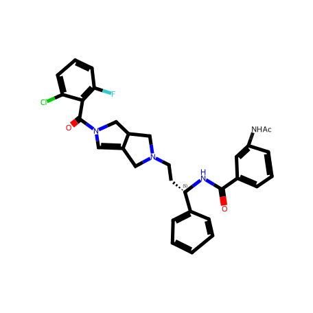 CC(=O)Nc1cccc(C(=O)N[C@@H](CCN2CC3=CN(C(=O)c4c(F)cccc4Cl)CC3C2)c2ccccc2)c1